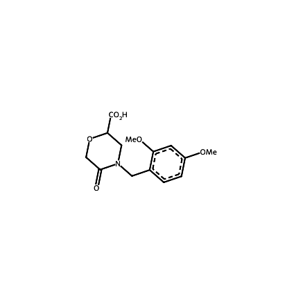 COc1ccc(CN2CC(C(=O)O)OCC2=O)c(OC)c1